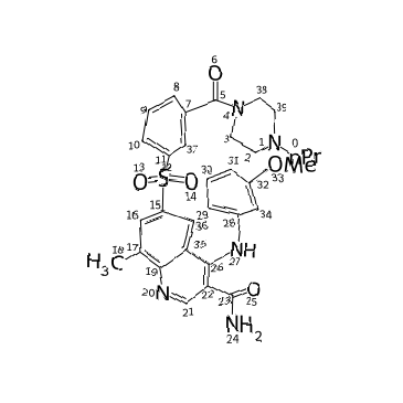 CCCN1CCN(C(=O)c2cccc(S(=O)(=O)c3cc(C)c4ncc(C(N)=O)c(Nc5cccc(OC)c5)c4c3)c2)CC1